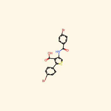 O=C(Nc1csc(-c2ccc(Br)cc2)c1C(=O)O)c1ccc(Br)cc1